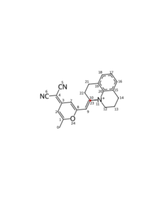 CC1=CC(=C(C#N)C#N)C=C(C=C[N+]23CCCc4cccc(c42)CCC3)O1